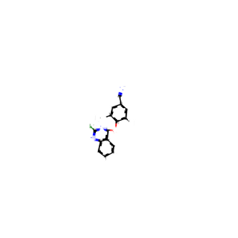 Cc1cc(C#N)cc(C)c1Oc1nc(Cl)nc2ccccc12